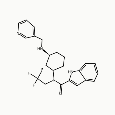 O=C(c1cc2ccccc2[nH]1)N(CC(F)(F)F)C1CCC[C@H](NCc2cccnc2)C1